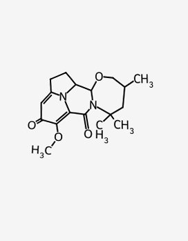 COc1c2n3c(cc1=O)CCC3C1OCC(C)CC(C)(C)N1C2=O